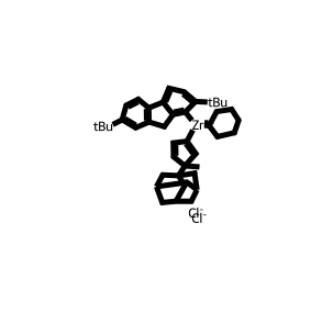 CC(C)(C)c1ccc2c(c1)Cc1c-2ccc(C(C)(C)C)[c]1[Zr+2]([C]1=CC(C)(C23CC4CC(CC(C4)C2)C3)C=C1)=[C]1CCCCC1.[Cl-].[Cl-]